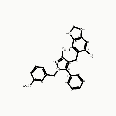 COc1cccc(Cn2nc(C(=O)O)c(Cc3cc4c(cc3Cl)OCO4)c2-c2ccccc2)c1